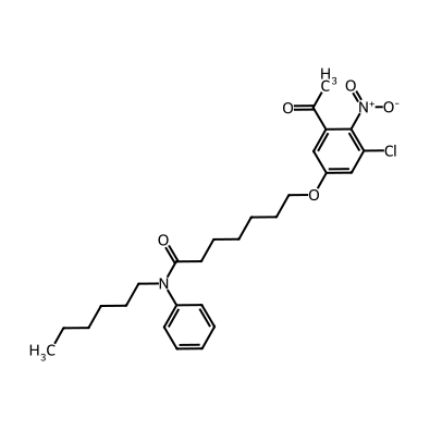 CCCCCCN(C(=O)CCCCCCOc1cc(Cl)c([N+](=O)[O-])c(C(C)=O)c1)c1ccccc1